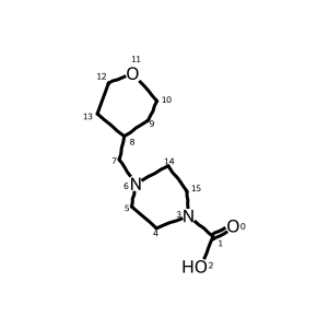 O=C(O)N1CCN(CC2CCOCC2)CC1